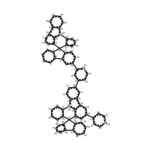 c1ccc2c(c1)-c1cc(-c3cc(-c4ccc5c(c4)c4cc(-c6ccncc6)cc6c4n5-c4ccccc4C64c5ccccc5-c5ccccc54)ccn3)ccc1C21c2ccccc2-n2c3ccccc3c3cccc1c32